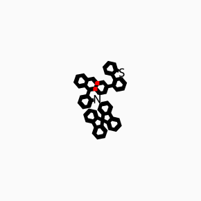 c1cc(-c2cccc3sc4ccccc4c23)cc(N(c2ccc3c(c2)C2(c4ccccc4-c4ccccc42)c2ccccc2-3)c2ccccc2-c2cccc3ccccc23)c1